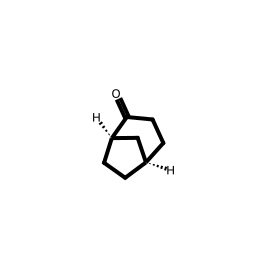 O=C1CC[C@H]2CC[C@@H]1C2